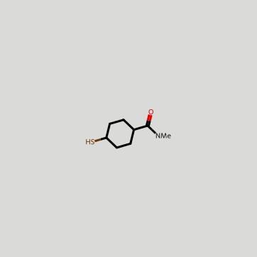 CNC(=O)C1CCC(S)CC1